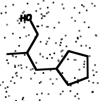 CC(CO)CC1CCCC1